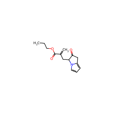 C=C(CC1C(=O)Cc2cccn21)C(=O)OCCC